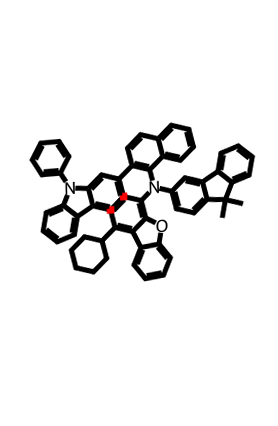 CC1(C)c2ccccc2-c2cc(N(c3c(-c4ccc5c6ccccc6n(-c6ccccc6)c5c4)ccc4ccccc34)c3ccc(C4CCCCC4)c4c3oc3ccccc34)ccc21